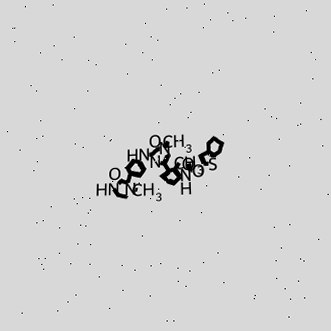 Cc1c(NC(=O)Oc2cc3c(s2)CCCC3)cccc1-c1cn(C)c(=O)c(Nc2ccc(C3C(=O)NCCN3C)cc2)n1